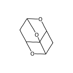 C1C2CC3OC1CC(O2)O3